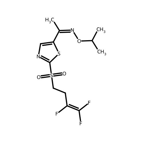 C/C(=N/OC(C)C)c1cnc(S(=O)(=O)CCC(F)=C(F)F)s1